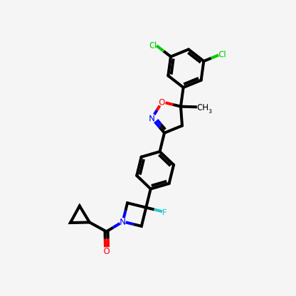 CC1(c2cc(Cl)cc(Cl)c2)CC(c2ccc(C3(F)CN(C(=O)C4CC4)C3)cc2)=NO1